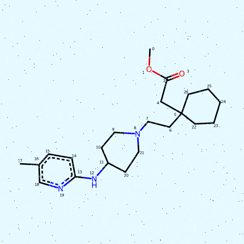 COC(=O)CC1(CCN2CCC(Nc3ccc(C)cn3)CC2)CCCCC1